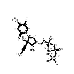 CC#CC1(O)[C@@H](O)[C@@H](COP(=O)(O)OP(=O)(O)OP(=O)(O)O)O[C@H]1n1cc(F)c(N)nc1=O